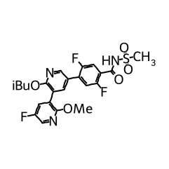 COc1ncc(F)cc1-c1cc(-c2cc(F)c(C(=O)NS(C)(=O)=O)cc2F)cnc1OCC(C)C